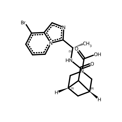 C[C@H](NC(=O)C1[C@@H]2C[C@H]1CN(C(=O)O)C2)c1ncc2c(Br)cccn12